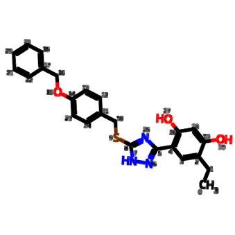 CCc1cc(-c2n[nH]c(SCc3ccc(OCc4ccccc4)cc3)n2)c(O)cc1O